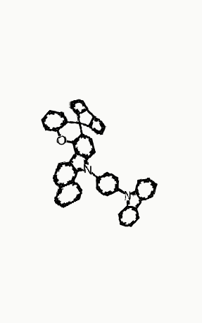 c1ccc2c(c1)Oc1c(ccc3c1c1ccc4ccccc4c1n3-c1ccc(-n3c4ccccc4c4ccccc43)cc1)C21c2ccccc2-c2ccccc21